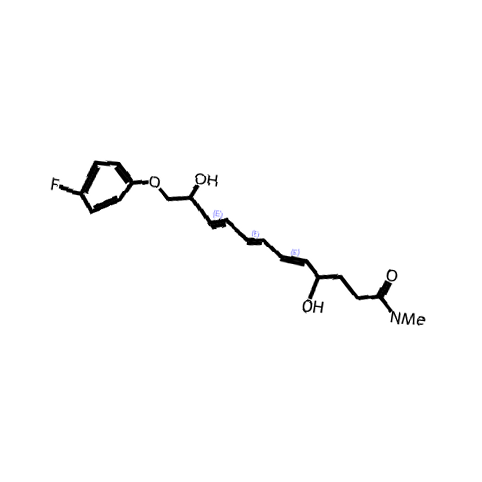 CNC(=O)CCC(O)/C=C/C=C/C=C/C(O)COc1ccc(F)cc1